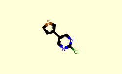 Clc1ncc(-c2ccsc2)cn1